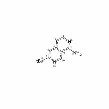 CC(C)(C)c1cc2ccnc(N)c2cn1